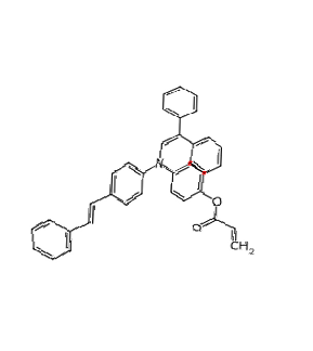 C=CC(=O)Oc1ccc(N(C=C(c2ccccc2)c2ccccc2)c2ccc(C=Cc3ccccc3)cc2)cc1